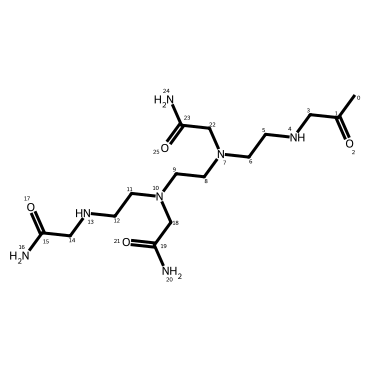 CC(=O)CNCCN(CCN(CCNCC(N)=O)CC(N)=O)CC(N)=O